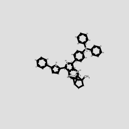 CC12CCC(c3nc4c(-c5ccc(-c6ccccc6)s5)sc(-c5ccc(N(c6ccccc6)c6ccccc6)cc5)c4nc31)C2(C)C